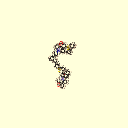 c1ccc(N(c2ccc(-c3cccc4c3sc3ccc(-c5ccc6c(-c7ccc(N(c8ccc(-c9cccc%10c9sc9ccccc9%10)cc8)c8cccc9oc%10ccccc%10c89)cc7)cccc6c5)cc34)cc2)c2cccc3oc4ccccc4c23)c(-c2ccc3ccccc3c2)c1